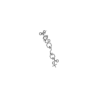 CC(C)(C)OC(=O)N1CCN(CCN2CCC3(CC2)Cn2cc([N+](=O)[O-])nc2O3)CC1